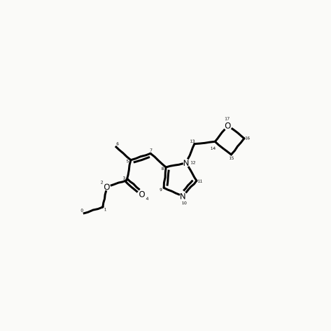 CCOC(=O)C(C)=Cc1cncn1CC1CCO1